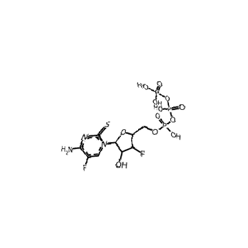 Nc1nc(=S)n(C2OC(COP(=O)(O)OP(=O)(O)OP(=O)(O)O)C(F)C2O)cc1F